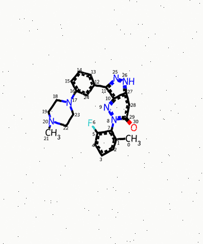 Cc1cccc(F)c1-n1nc2c(-c3cccc(N4CCN(C)CC4)c3)n[nH]c2cc1=O